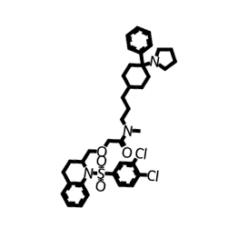 CN(CCCC1CCC(c2ccccc2)(N2CCCC2)CC1)C(=O)COCC1CCc2ccccc2N1S(=O)(=O)c1ccc(Cl)c(Cl)c1